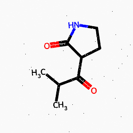 CC(C)C(=O)C1CCNC1=O